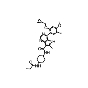 CCC(=O)NC1CCC(NC(=O)c2c(C)[nH]c3c(-c4cc(F)c(OC)cc4OCC4CC4)ncnc23)CC1